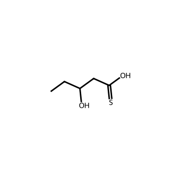 CCC(O)CC(O)=S